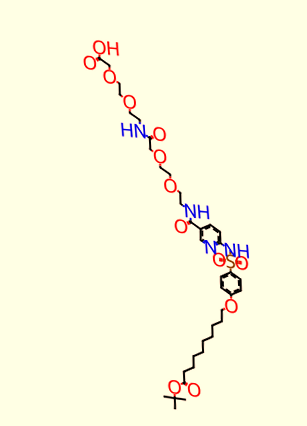 CC(C)(C)OC(=O)CCCCCCCCCOc1ccc(S(=O)(=O)Nc2ccc(C(=O)NCCOCCOCC(=O)NCCOCCOCC(=O)O)cn2)cc1